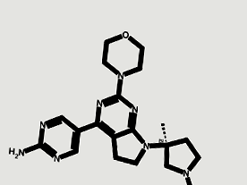 C[C@]1(N2CCc3c(-c4cnc(N)nc4)nc(N4CCOCC4)nc32)CCN(C=O)C1